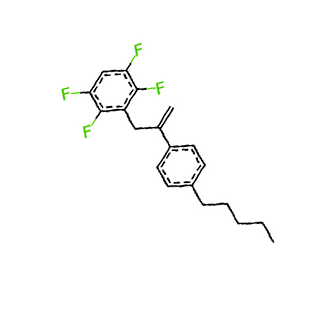 C=C(Cc1c(F)c(F)cc(F)c1F)c1ccc(CCCCC)cc1